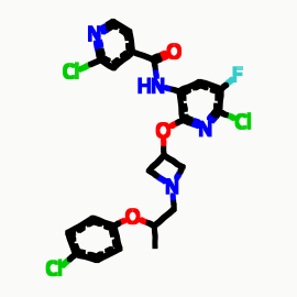 CC(CN1CC(Oc2nc(Cl)c(F)cc2NC(=O)c2ccnc(Cl)c2)C1)Oc1ccc(Cl)cc1